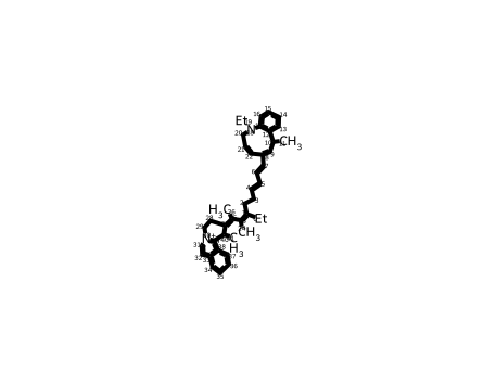 CC/C(CC/C=C/C=C/C1=CC(C)c2ccccc2N(CC)C/C=C\1)=C(C)/C(C)=C1/CC[n+]2ccc3ccccc3c2C1C